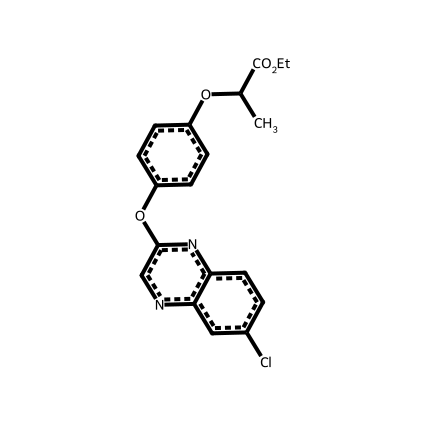 CCOC(=O)C(C)Oc1ccc(Oc2cnc3cc(Cl)ccc3n2)cc1